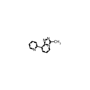 Cc1nnc2c(-c3ccccn3)cccn12